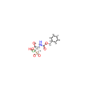 O=C(N[C@H](CS(=O)(=O)Cl)C(=O)O)OCc1ccccc1